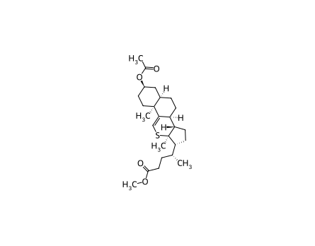 COC(=O)CC[C@@H](C)[C@H]1CC[C@H]2[C@@H]3CC[C@@H]4C[C@H](OC(C)=O)CC[C@]4(C)C3=CS[C@]12C